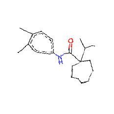 Cc1ccc(NC(=O)C2(C(C)C)CCCCCC2)cc1C